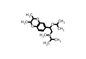 CC(C)OC(CN(C)C(C)C)c1ccc2c(c1)OC(C)C(C)O2